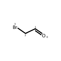 O=[C][CH]Br